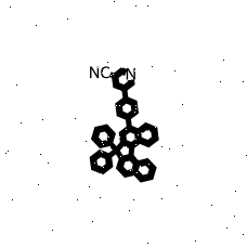 N#Cc1cncc(-c2ccc(-c3cc4c(c5ccccc35)-c3c(ccc5ccccc35)C4(c3ccccc3)c3ccccc3)cc2)c1